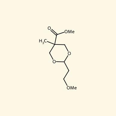 COCCC1OCC(C)(C(=O)OC)CO1